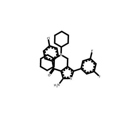 Nc1sc(-c2cc(F)cc(F)c2)c(CN(C2CCCCC2)C2CCCCC2)c1C(=O)c1ccc(Cl)cc1